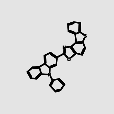 c1ccc(-n2c3ccccc3c3ccc(-c4nc5c(ccc6sc7ccccc7c65)o4)cc32)cc1